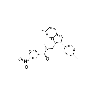 Cc1ccc(-c2nc3ccc(C)cn3c2CN(C)C(=O)c2csc([N+](=O)[O-])c2)cc1